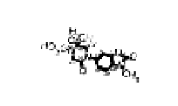 Cn1c(=O)oc2cc(N3CC(C)(C)N(C(=O)O)CC3=O)ccc21